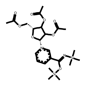 CC(=O)OC[C@H]1O[C@@H]([n+]2cccc(/C(=N/[Si](C)(C)C)O[Si](C)(C)C)c2)C(OC(C)=O)C1OC(C)=O